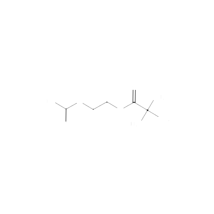 CC(C)OCCOC(=O)C(C)(C)C